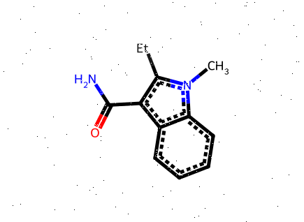 CCc1c(C(N)=O)c2ccccc2n1C